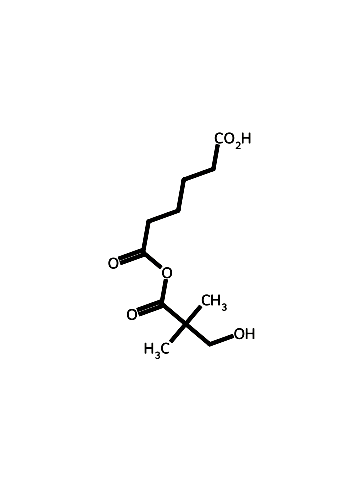 CC(C)(CO)C(=O)OC(=O)CCCCC(=O)O